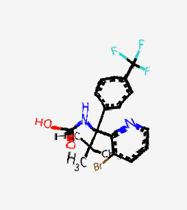 CC(C)(C)C(NC(=O)O)(c1ccc(C(F)(F)F)cc1)c1ncccc1Br